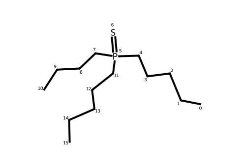 CCCCCP(=S)(CCCC)CCCCC